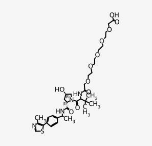 Cc1ncsc1-c1ccc(C(C)NC(=O)[C@@H]2C[C@@H](O)CN2C(=O)C(NC(=O)COCCOCCOCCOCCOCC(=O)O)C(C)(C)C)cc1